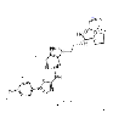 C/C=C\C(=O)[N+]1(C)CCC[C@H]1C(O)NCCn1cnc2cnc(Nc3ncc(-c4ccc(F)cc4)s3)cc21